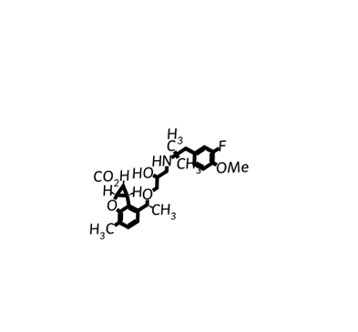 COc1ccc(CC(C)(C)NCC(O)CO[C@H](C)c2ccc(C)c3c2[C@H]2[C@@H](O3)[C@@H]2C(=O)O)cc1F